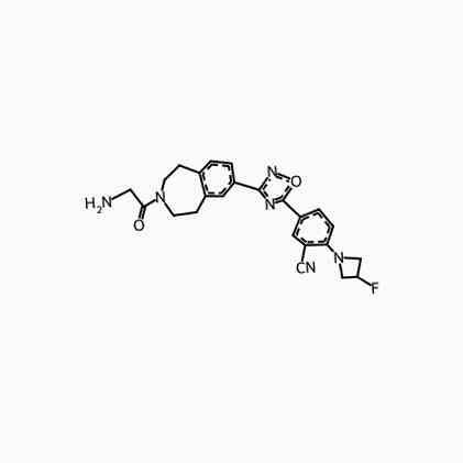 N#Cc1cc(-c2nc(-c3ccc4c(c3)CCN(C(=O)CN)CC4)no2)ccc1N1CC(F)C1